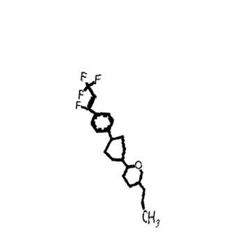 CCCC1CCC(C2CCC(c3ccc(/C(F)=C/C(F)(F)F)cc3)CC2)OC1